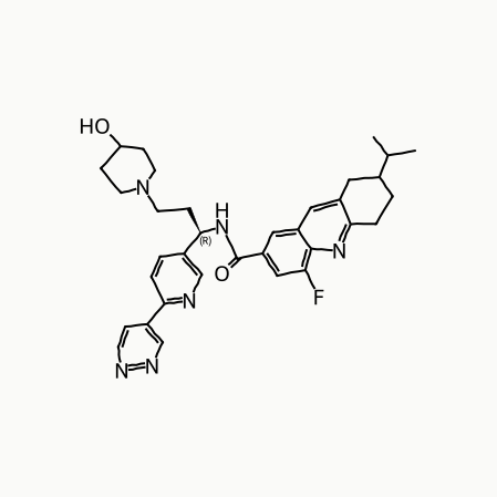 CC(C)C1CCc2nc3c(F)cc(C(=O)N[C@H](CCN4CCC(O)CC4)c4ccc(-c5ccnnc5)nc4)cc3cc2C1